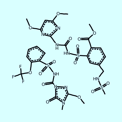 COC(=O)c1ccc(CNS(C)(=O)=O)cc1S(=O)(=O)NC(=O)Nc1nc(OC)cc(OC)n1.COc1nn(C(=O)NS(=O)(=O)c2ccccc2OC(F)(F)F)c(=O)n1C